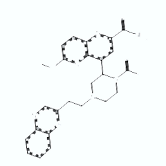 COc1ccc2nc(C(N)=O)cc(C3CN(CCc4cnc5ccccc5n4)CCN3C(=O)O)c2n1